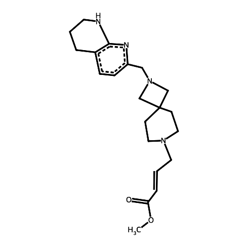 COC(=O)/C=C/CN1CCC2(CC1)CN(Cc1ccc3c(n1)NCCC3)C2